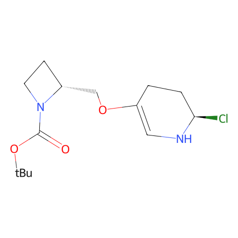 CC(C)(C)OC(=O)N1CC[C@@H]1COC1=CN[C@H](Cl)CC1